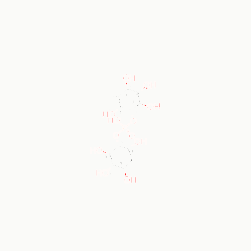 O=P(O)(O[C@H]1[C@H](O)[C@@H](O)[C@H](O)C[C@H]1O)O[C@H]1[C@H](O)[C@@H](O)[C@H](O)C[C@H]1O